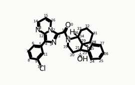 O=C(c1nc(-c2cccc(Cl)c2)c2ncccn12)N1CC[C@](O)(c2ccccc2)[C@H]2CCCC[C@H]21